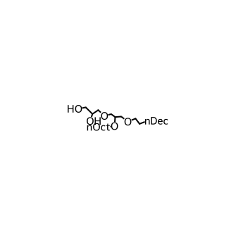 CCCCCCCCCCCCOCC(COCC(O)CO)OCCCCCCCC